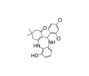 CC1(C)CC(=O)C2=C(C1)Nc1c(O)cccc1NC2c1ccc(Cl)cc1Cl